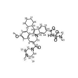 COc1ccc2c(c1)C=C(C(=O)N1C[C@@H](C)N(C)[C@@H](C)C1)Cn1c-2c(C2CCCCC2)c2ccc(C(=O)NS(=O)(=O)N(C)C)cc21